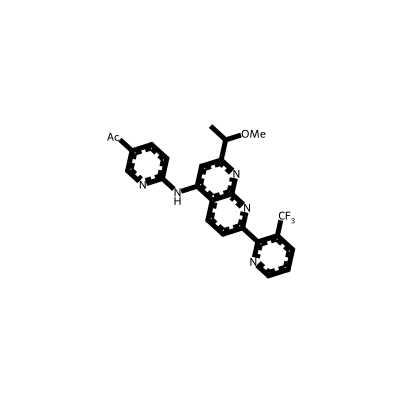 COC(C)c1cc(Nc2ccc(C(C)=O)cn2)c2ccc(-c3ncccc3C(F)(F)F)nc2n1